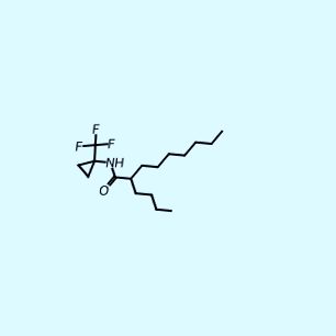 CCCCCCCC(CCCC)C(=O)NC1(C(F)(F)F)CC1